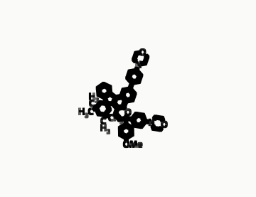 COc1ccc(C2(c3ccc(N4CCOCC4)cc3)C=Cc3c4c(c5cc(-c6ccc(N7CCOCC7)cc6)ccc5c3O2)-c2ccccc2C42CC(C)(C)CC(C)(C)C2)cc1